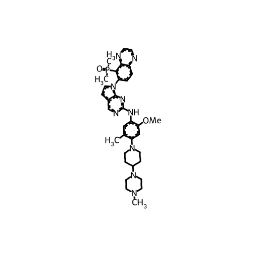 COc1cc(N2CCC(N3CCN(C)CC3)CC2)c(C)cc1Nc1ncc2ccn(-c3ccc4nccnc4c3P(C)(C)=O)c2n1